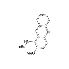 CCCCNc1c(OC)ccc2nc3ccccc3cc12